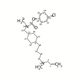 C=CCN(C)CCCCC1CCC(CN(C)C(=O)Oc2ccc(Cl)cc2)CC1